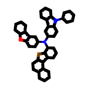 c1ccc(-n2c3ccccc3c3cc(N(c4ccc5oc6ccccc6c5c4)c4cccc5c4sc4ccc6ccccc6c45)ccc32)cc1